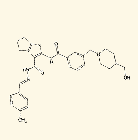 Cc1ccc(/C=N/NC(=O)c2c(NC(=O)c3cccc(CN4CCC(CO)CC4)c3)sc3c2CCC3)cc1